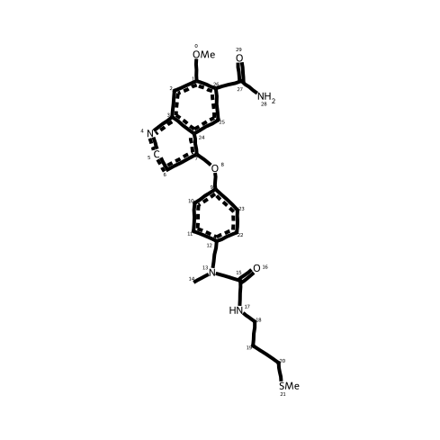 COc1cc2nccc(Oc3ccc(N(C)C(=O)NCCCSC)cc3)c2cc1C(N)=O